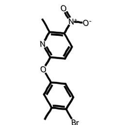 Cc1cc(Oc2ccc([N+](=O)[O-])c(C)n2)ccc1Br